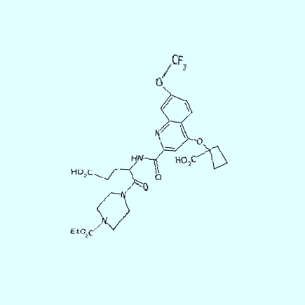 CCOC(=O)N1CCN(C(=O)C(CCC(=O)O)NC(=O)c2cc(OC3(C(=O)O)CCC3)c3ccc(OC(F)(F)F)cc3n2)CC1